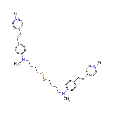 CC[n+]1ccc(/C=C/c2ccc(N(C)CCCCSSCCCCN(C)c3ccc(/C=C/c4cc[n+](CC)cc4)cc3)cc2)cc1